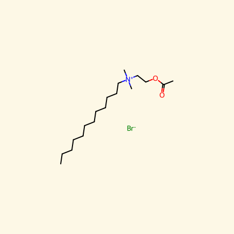 CCCCCCCCCCCC[N+](C)(C)CCOC(C)=O.[Br-]